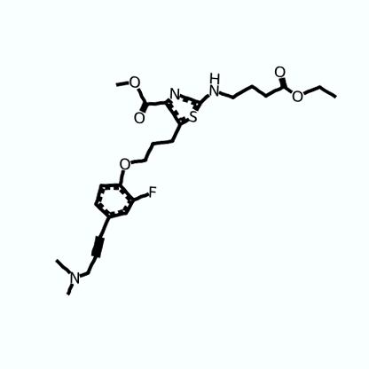 CCOC(=O)CCCNc1nc(C(=O)OC)c(CCCOc2ccc(C#CCN(C)C)cc2F)s1